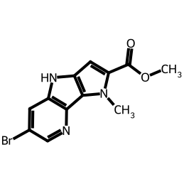 COC(=O)c1cc2[nH]c3cc(Br)cnc3c2n1C